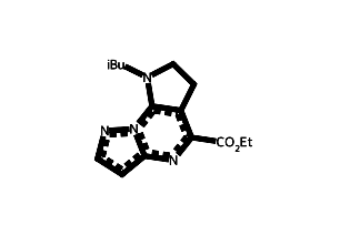 CCOC(=O)c1nc2ccnn2c2c1CCN2C(C)CC